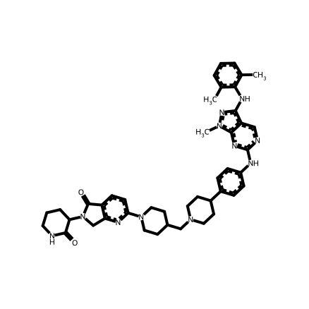 Cc1cccc(C)c1Nc1nn(C)c2nc(Nc3ccc(C4CCN(CC5CCN(c6ccc7c(n6)CN(C6CCCNC6=O)C7=O)CC5)CC4)cc3)ncc12